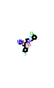 C[C@@H](c1ccn(Cc2cccc(Cl)c2F)n1)[C@](O)(Cn1cnnn1)c1ccc(F)cc1F